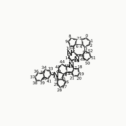 c1ccc2c(c1)-c1ccccc1-c1ncc(-n3c4ccccc4c4c5c6ccccc6n(-c6ccc7ccccc7c6)c5ccc43)nc1-c1ccccc1-2